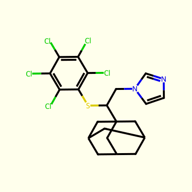 Clc1c(Cl)c(Cl)c(SC(Cn2ccnc2)C23CC4CC(CC(C4)C2)C3)c(Cl)c1Cl